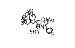 COCCC(CC1CCN(S(C)(=O)=O)CC1)([C](CCO)CNC(=O)c1ccc(F)cc1)C1CCN(S(C)(=O)=O)CC1